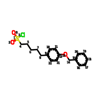 O=S(=O)(Cl)CCCCCc1ccc(OCc2ccccc2)cc1